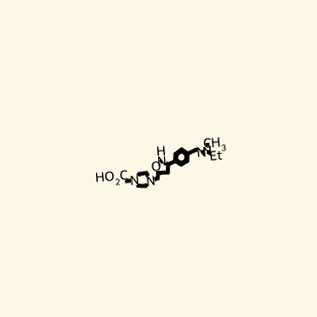 CCN(C)N=Cc1ccc(C2CC(CN3CCN(CC(=O)O)CC3)ON2)cc1